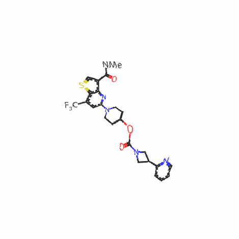 CNC(=O)c1csc2c(C(F)(F)F)cc(N3CCC(OC(=O)N4CC(c5ccccn5)C4)CC3)nc12